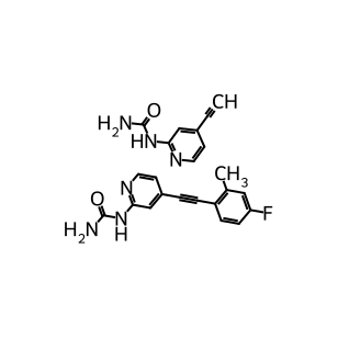 C#Cc1ccnc(NC(N)=O)c1.Cc1cc(F)ccc1C#Cc1ccnc(NC(N)=O)c1